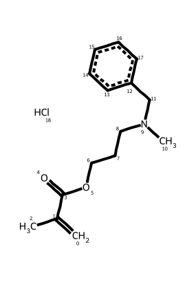 C=C(C)C(=O)OCCCN(C)Cc1ccccc1.Cl